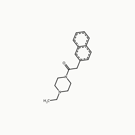 CCN1CCN(C(=O)Cc2ccc3ccccc3c2)CC1